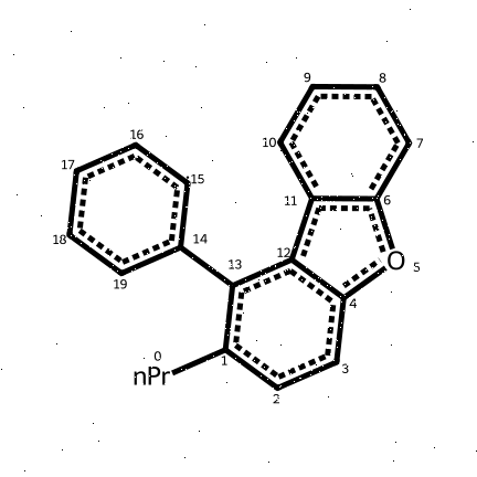 CCCc1ccc2oc3ccccc3c2c1-c1[c]cccc1